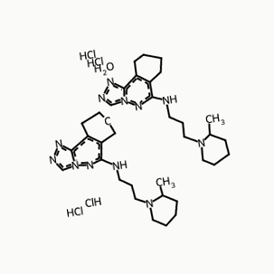 CC1CCCCN1CCCNc1nn2cnnc2c2c1CCCC2.CC1CCCCN1CCCNc1nn2cnnc2c2c1CCCC2.Cl.Cl.Cl.Cl.O